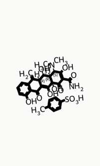 C=C1c2cccc(O)c2C(=O)C2=C(O)[C@]3(O)C(=O)C(C(N)=O)=C(O)[C@@H](N(C)C)[C@@H]3[C@@H](O)[C@H]12.Cc1ccc(S(=O)(=O)O)cc1